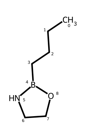 CCCCB1NCCO1